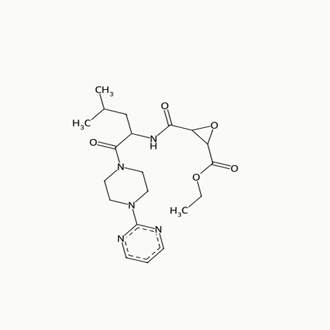 CCOC(=O)C1OC1C(=O)NC(CC(C)C)C(=O)N1CCN(c2ncccn2)CC1